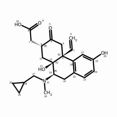 C=C[C@]12CC(=O)[C@@H](CC(=O)O)C[C@@]1(O)[C@H](N(C)CC1CC1)Cc1ccc(O)cc12